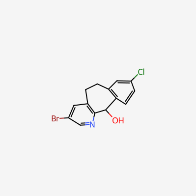 OC1c2ccc(Cl)cc2CCc2cc(Br)cnc21